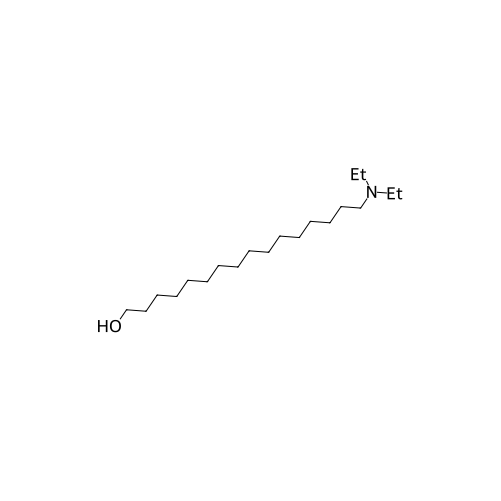 CCN(CC)CCCCCCCCCCCCCCCCO